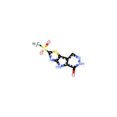 CS(=O)(=O)c1nc2[nH]c3c(=O)[nH]ncc3c2s1